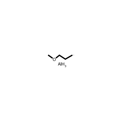 [AlH3].[CH2]CCOC